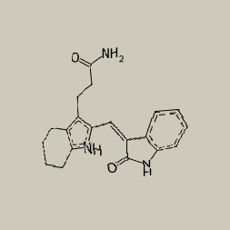 NC(=O)CCc1c(C=C2C(=O)Nc3ccccc32)[nH]c2c1CCCC2